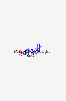 CCOC(=O)c1cnc(N2CCN(c3ncc4c(n3)CCN(C(=O)OC(C)(C)C)C4)C[C@@H]2C(=O)OCC(C)C)nc1N